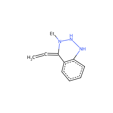 C=C=C1c2ccccc2NNN1CC